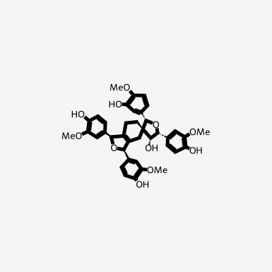 COc1ccc([C@@H]2O[C@H](c3ccc(O)c(OC)c3)[C@H](O)[C@@]23CCC2=C(C3)[C@@H](c3ccc(O)c(OC)c3)O[C@H]2c2ccc(O)c(OC)c2)cc1O